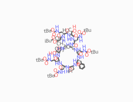 CCC(C)C(=O)OC(C)(C)CC(=O)N[C@@H](CCNC(=O)OC(C)(C)C)C(=O)N[C@H](C(=O)N[C@@H](CCNC(=O)OC(C)(C)C)C(=O)N[C@H]1CCNC(=O)[C@H]([C@H](C)O)NC(=O)[C@H](CCCNC(=O)OC(C)(C)C)NC(=O)[C@H](CCNC(=O)OC(C)(C)C)NC(=O)[C@H](CC(C)C)NC(=O)[C@@H](Cc2ccccc2)NC(=O)[C@H](CCNC(=O)OC(C)(C)C)NC1)C(C)O